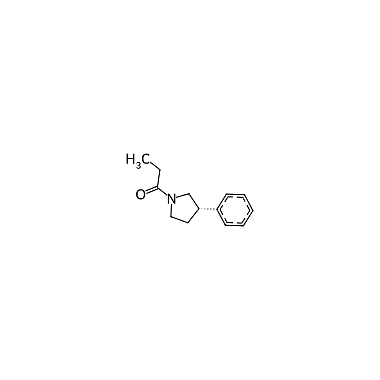 CCC(=O)N1CC[C@@H](c2ccccc2)C1